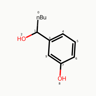 CCCCC(O)c1cccc(O)c1